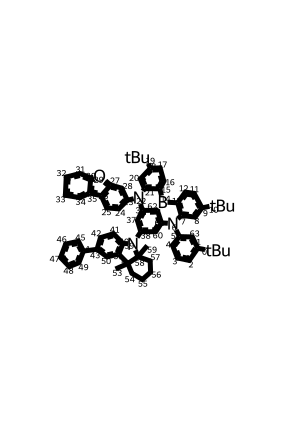 CC(C)(C)c1cccc(N2c3cc(C(C)(C)C)ccc3B3c4ccc(C(C)(C)C)cc4N(c4ccc5c(c4)oc4ccccc45)c4cc(N5c6ccc(-c7ccccc7)cc6C6(C)CCCCC56C)cc2c43)c1